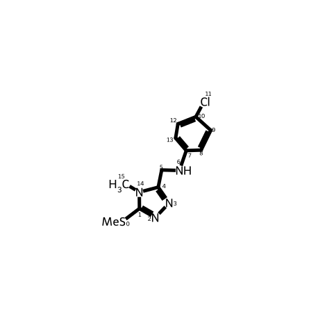 [CH2]Sc1nnc(CNc2ccc(Cl)cc2)n1C